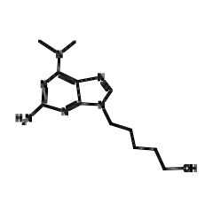 CN(C)c1nc(N)nc2c1ncn2CCCCCO